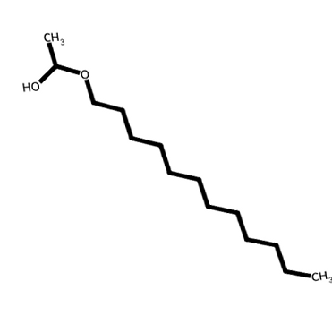 CCCCCCCCCCCCO[C](C)O